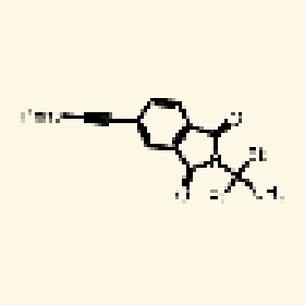 CCCC(C)C#Cc1ccc2c(c1)C(=O)N(C(C)(CC)CC)C2=O